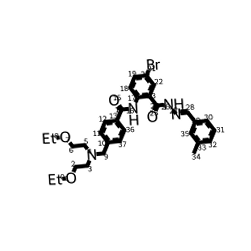 CCOCCN(CCOCC)Cc1ccc(C(=O)Nc2ccc(Br)cc2C(=O)NN=Cc2cccc(C)c2)cc1